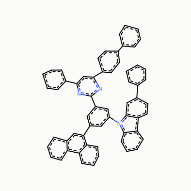 c1ccc(-c2ccc(-c3cc(-c4ccccc4)nc(-c4cc(-c5cc6ccccc6c6ccccc56)cc(-n5c6ccccc6c6ccc(-c7ccccc7)cc65)c4)n3)cc2)cc1